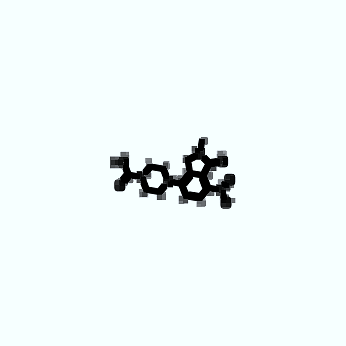 CN1Cc2c(N3CCN(C(=O)O)CC3)ccc([N+](=O)[O-])c2C1=O